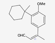 COc1ccc(/C(C)=C\C=O)cc1C1(C)CCCCC1